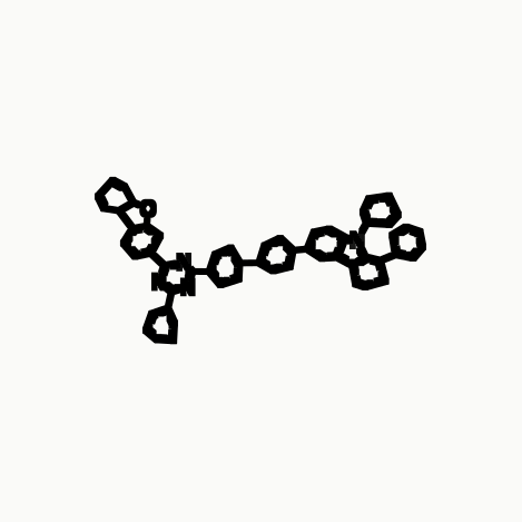 C1=CC2Oc3cc(-c4nc(-c5ccccc5)nc(-c5ccc(-c6ccc(-c7ccc8c(c7)c7cccc(-c9ccccc9)c7n8-c7ccccc7)cc6)cc5)n4)ccc3C2C=C1